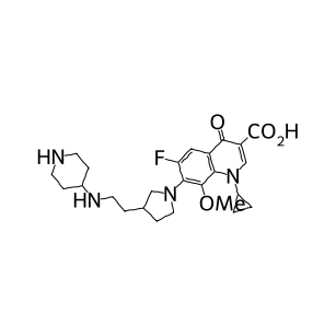 COc1c(N2CCC(CCNC3CCNCC3)C2)c(F)cc2c(=O)c(C(=O)O)cn(C3CC3)c12